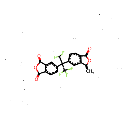 C=C1OC(=O)c2ccc(C(c3ccc4c(c3)C(=O)OC4=O)(C(F)F)C(F)(F)F)cc21